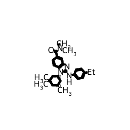 CCc1ccc(Nc2nc3cc(C(=O)N(C)C)ccc3n2[C@H]2C[C@@H](C)CC(C)(C)C2)cc1